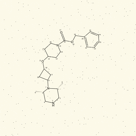 C[C@@H]1CNC[C@H](C)N1C1CC(OC2CCN(C(=O)OCc3ccccc3)CC2)C1